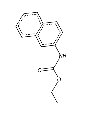 CCOC(=O)Nc1ccc2ccccc2c1